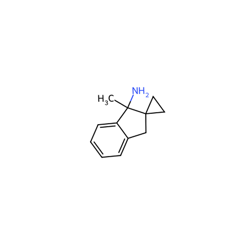 CC1(N)c2ccccc2CC12CC2